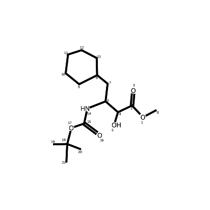 COC(=O)C(O)C(CC1CCCCC1)NC(=O)OC(C)(C)C